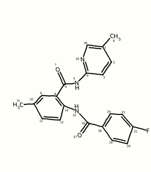 Cc1ccc(NC(=O)c2cc(C)ccc2NC(=O)c2ccc(F)cc2)nc1